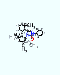 CCOC1N(c2ccccc2)C=C(c2c(C)cccc2C)N1c1cc(C)cc(C)c1